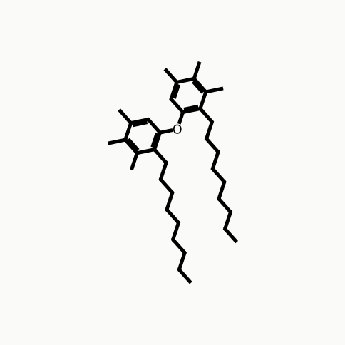 CCCCCCCCCc1c(Oc2cc(C)c(C)c(C)c2CCCCCCCCC)cc(C)c(C)c1C